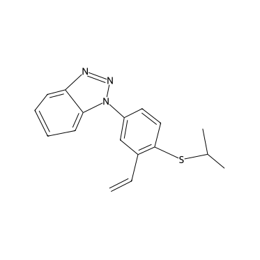 C=Cc1cc(-n2nnc3ccccc32)ccc1SC(C)C